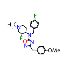 COc1ccc(Cc2noc(N(Cc3ccc(F)cc3)[C@@H]3CCN(C)C[C@@H]3F)n2)cc1